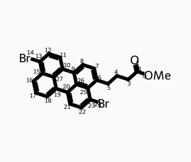 COC(=O)CCCc1ccc2c3ccc(Br)c4cccc(c5ccc(Br)c1c52)c43